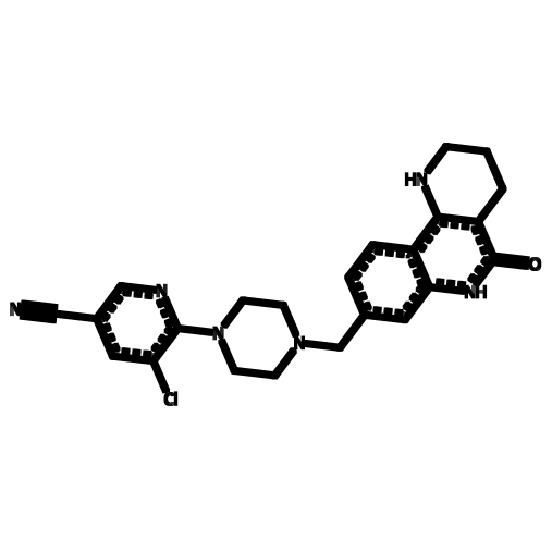 N#Cc1cnc(N2CCN(Cc3ccc4c5c(c(=O)[nH]c4c3)CCCN5)CC2)c(Cl)c1